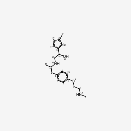 CNCCOc1ccc(CC(C)NCC(O)c2csc(C)n2)cc1